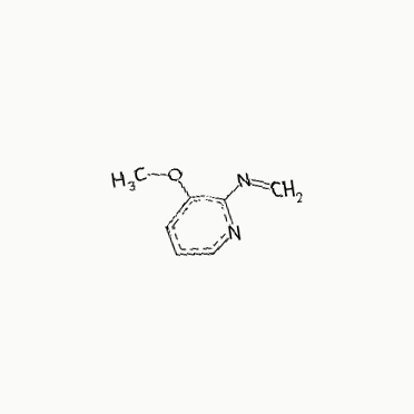 C=Nc1ncccc1OC